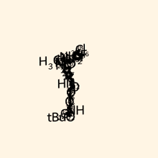 Cn1nc(C2CC3CC(CNC(=O)COCCOCCNC(=O)OC(C)(C)C)CC3C2)c(C(=O)Nc2ccc(F)c(Cl)c2)c1N